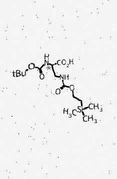 CC(C)(C)OC(=O)N[C@H](CNC(=O)OCC[Si](C)(C)C)C(=O)O